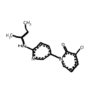 CCC(C)Nc1ccc(-n2cccc(Cl)c2=O)cn1